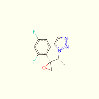 C[C@@H](n1ccnn1)[C@@]1(c2ccc(F)cc2F)CO1